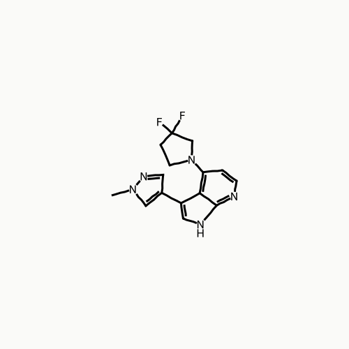 Cn1cc(-c2c[nH]c3nccc(N4CCC(F)(F)C4)c23)cn1